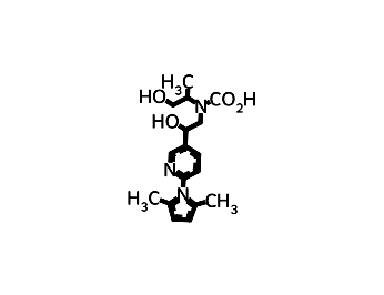 Cc1ccc(C)n1-c1ccc(C(O)CN(C(=O)O)C(C)CO)cn1